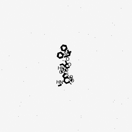 CCN[C@H]1C[C@H](C)S(=O)(=O)c2sc(S(=O)(=O)NC(CC)(CC)C(=O)[C@H](C)OC(C)(CC)[Si](c3ccccc3)(c3ccccc3)C(C)(C)C)cc21